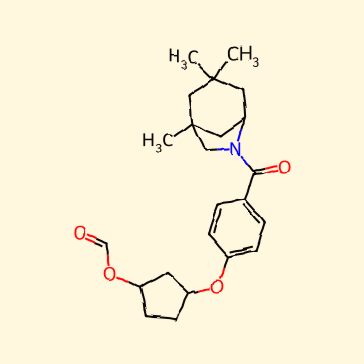 CC1(C)CC2CC(C)(CN2C(=O)c2ccc(OC3CCC(OC=O)C3)cc2)C1